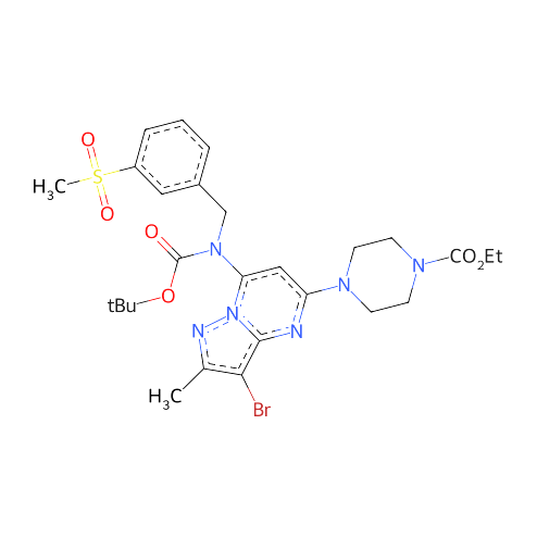 CCOC(=O)N1CCN(c2cc(N(Cc3cccc(S(C)(=O)=O)c3)C(=O)OC(C)(C)C)n3nc(C)c(Br)c3n2)CC1